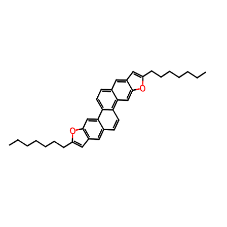 CCCCCCCc1cc2cc3ccc4c5cc6oc(CCCCCCC)cc6cc5ccc4c3cc2o1